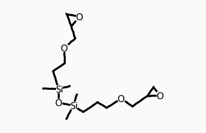 C[Si](C)(CCCOCC1CO1)O[Si](C)(C)CCOCC1CO1